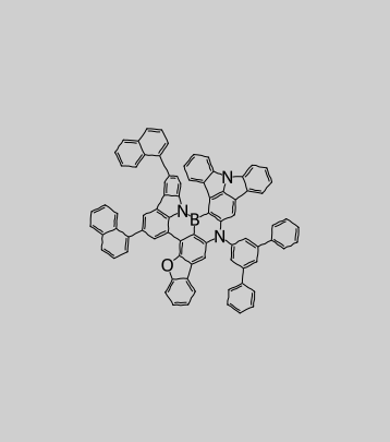 c1ccc(-c2cc(-c3ccccc3)cc(N3c4cc5c(oc6ccccc65)c5c4B(c4c3cc3c6ccccc6n6c7ccccc7c4c36)n3c4ccc(-c6cccc7ccccc67)cc4c4cc(-c6cccc7ccccc67)cc-5c43)c2)cc1